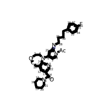 CC(=O)n1ccc(N2CCOCCc3cc(C(=O)N4CCCCC4)cnc32)c/c1=N/CCCCc1ccc(F)cc1